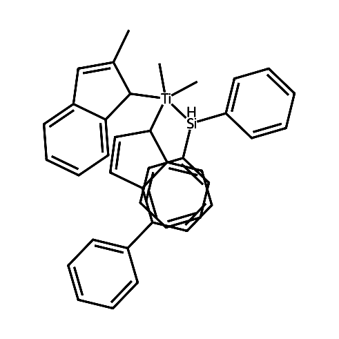 CC1=Cc2ccccc2[CH]1[Ti]([CH3])([CH3])([CH]1C=Cc2c(-c3ccccc3)cccc21)[SiH](c1ccccc1)c1ccccc1